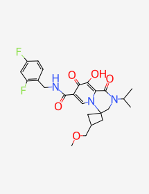 COCC1CC2(C1)CN(C(C)C)C(=O)c1c(O)c(=O)c(C(=O)NCc3ccc(F)cc3F)cn12